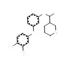 CCC(Oc1cccc(Oc2ccc(N)c(N)c2)c1)C1CCCNC1